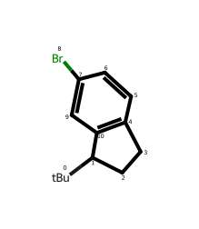 CC(C)(C)C1CCc2ccc(Br)cc21